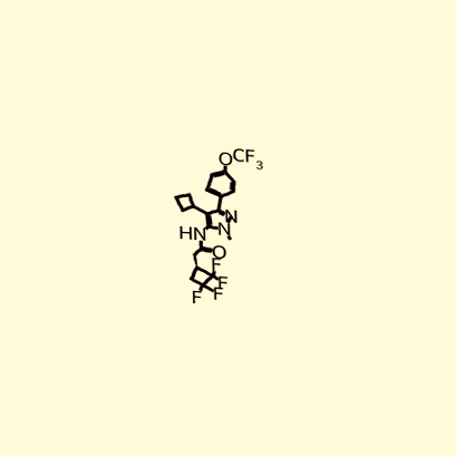 Cn1nc(-c2ccc(OC(F)(F)F)cc2)c(C2CCC2)c1NC(=O)C[C@@H]1CC(F)(F)C1(F)F